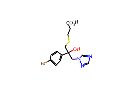 O=C(O)CCSCC(O)(Cn1cncn1)c1ccc(Br)cc1